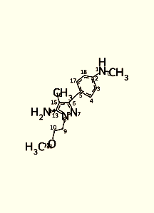 CNc1ccc(-c2nn(CCOC)c(N)c2C)cc1